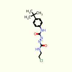 CC(C)(C)c1ccc(NC(=O)/N=N/C(=O)NCCCl)cc1